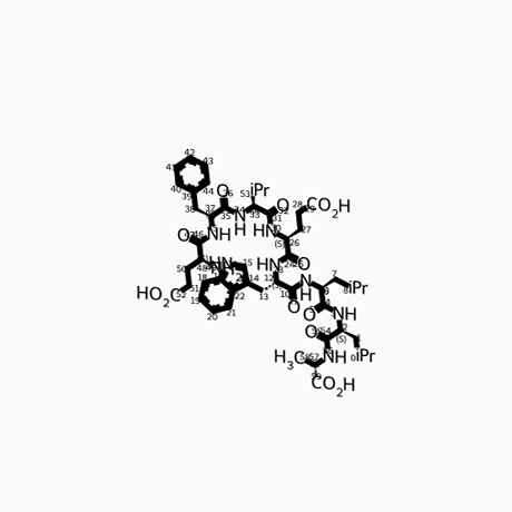 CC(C)C[C@H](NC(=O)[C@H](CC(C)C)NC(=O)[C@H](Cc1c[nH]c2ccccc12)NC(=O)[C@H](CCC(=O)O)NC(=O)[C@@H](NC(=O)[C@H](Cc1ccccc1)NC(=O)[C@@H](N)CCC(=O)O)C(C)C)C(=O)N[C@@H](C)C(=O)O